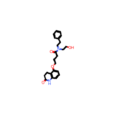 O=C1CCc2c(cccc2OCCCC(=O)N(CCO)CCc2ccccc2)N1